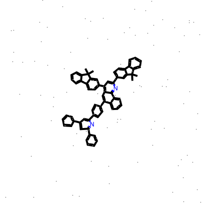 CC1(C)c2ccccc2-c2ccc(-c3cc(-c4ccc5c(c4)C(C)(C)c4ccccc4-5)c4cc(-c5ccc(-c6cc(-c7ccccc7)cc(-c7ccccc7)n6)cc5)c5ccccc5c4n3)cc21